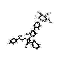 O=C1[C@H](CCC(O)c2ccc(F)cc2)[C@@H](c2ccc(-c3ccc([C@@H]4O[C@H](CO)[C@@H](O)[C@H](O)[C@H]4O)cc3)cc2O)N1c1ccccc1